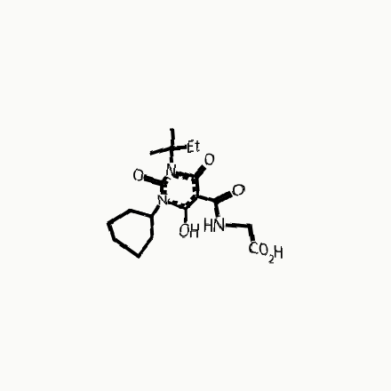 CCC(C)(C)n1c(=O)c(C(=O)NCC(=O)O)c(O)n(C2CCCCC2)c1=O